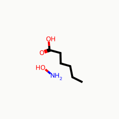 CCCCCC(=O)O.NO